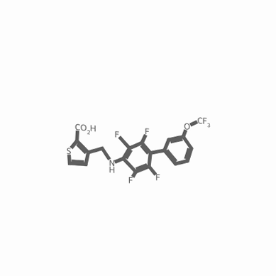 O=C(O)c1sccc1CNc1c(F)c(F)c(-c2cccc(OC(F)(F)F)c2)c(F)c1F